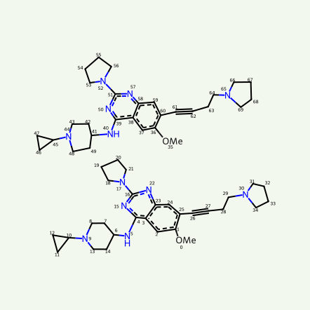 COc1cc2c(NC3CCN(C4CC4)CC3)nc(N3CCCC3)nc2cc1C#CCCN1CCCC1.COc1cc2c(NC3CCN(C4CC4)CC3)nc(N3CCCC3)nc2cc1C#CCCN1CCCC1